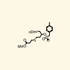 CCCCCCCCCCCC(CCSCCC(=O)OC)OS(=O)(=O)Cc1ccc(C)cc1